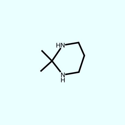 CC1(C)NCCCN1